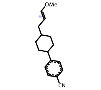 CO/C=C/CC1CCC(c2ccc(C#N)cc2)CC1